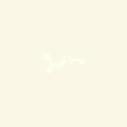 CC(O)CN=C=S